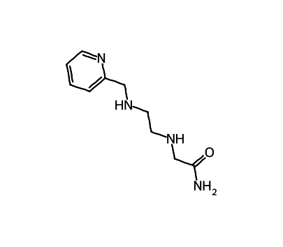 NC(=O)CNCCNCc1ccccn1